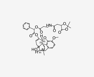 COc1ccc2c3c1O[C@H]1C(OC(=O)C(OC(=O)CCNC(=O)CC4OC(C)(C)OC4=O)c4ccccc4)=CC[C@@]4(O)[C@@H](C2)N(C)CC[C@]314